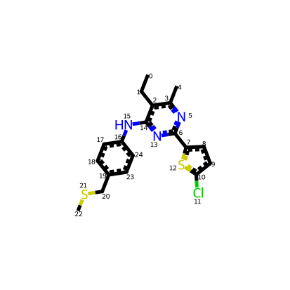 CCc1c(C)nc(-c2ccc(Cl)s2)nc1Nc1ccc(CSC)cc1